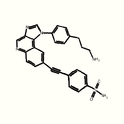 NCCCc1ccc(-n2cnc3cnc4ccc(C#Cc5ccc(S(N)(=O)=O)cc5)cc4c32)cc1